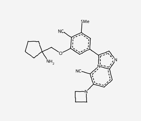 CSc1cc(-c2cnc3ccc(N4CCC4)c(C#N)n23)cc(OCC2(N)CCCC2)c1C#N